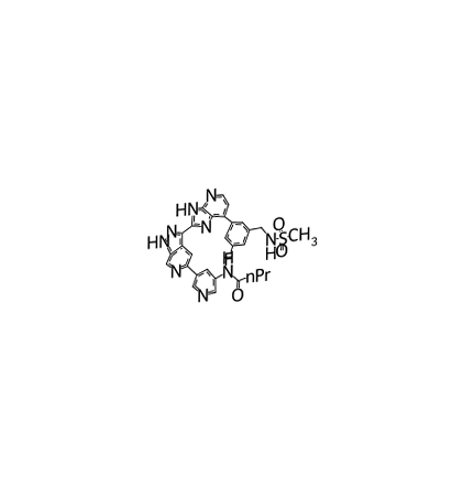 CCCC(=O)Nc1cncc(-c2cc3c(-c4nc5c(-c6cc(F)cc(CNS(C)(=O)=O)c6)ccnc5[nH]4)n[nH]c3cn2)c1